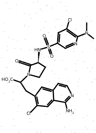 CN(C)c1ncc(S(=O)(=O)N[C@H]2CCN(C(Cc3cc4ccnc(N)c4cc3Cl)C(=O)O)C2=O)cc1Cl